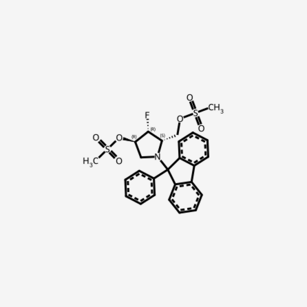 CS(=O)(=O)OC[C@H]1[C@@H](F)[C@H](OS(C)(=O)=O)CN1C1(c2ccccc2)c2ccccc2-c2ccccc21